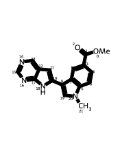 COC(=O)c1ccc2c(c1)c(-c1cc3cncnc3[nH]1)cn2C